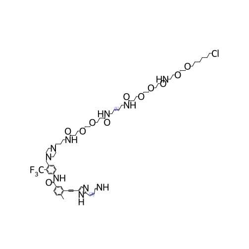 Cc1ccc(C(=O)Nc2ccc(CN3CCN(CCCNC(=O)CCOCCOCCC(=O)NC/C=C/CNC(=O)CCOCCOCCONCCOCCOCCCCCCCl)CC3)c(C(F)(F)F)c2)cc1C#Cc1cnc(/C=C\C=N)[nH]1